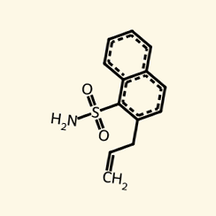 C=CCc1ccc2ccccc2c1S(N)(=O)=O